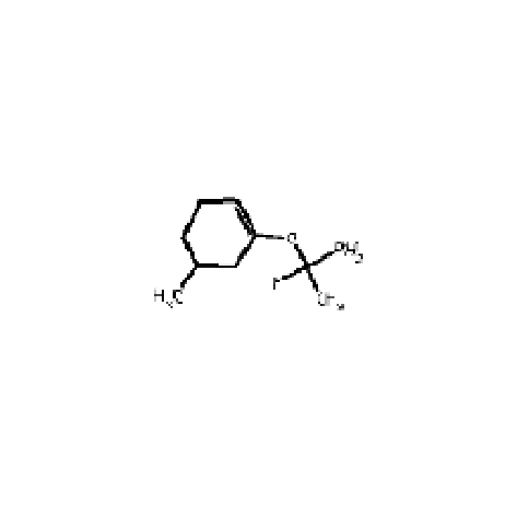 CC1CCC=C(OC(C)(F)P)C1